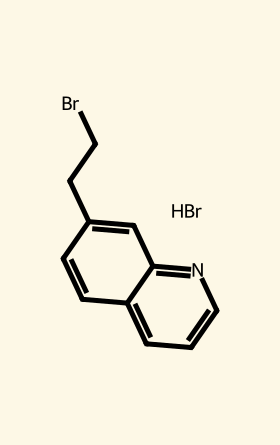 Br.BrCCc1ccc2cccnc2c1